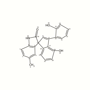 Cc1ccc2c(c1)C1(C=C(c3ccccc3O)c3c(O)cccc31)C(=O)N2